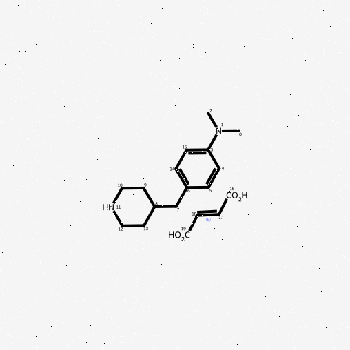 CN(C)c1ccc(CC2CCNCC2)cc1.O=C(O)/C=C/C(=O)O